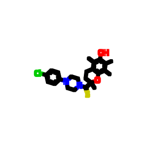 Cc1c(C)c2c(c(C)c1O)CCC(C)(C(=S)N1CCN(c3ccc(Cl)cc3)CC1)O2